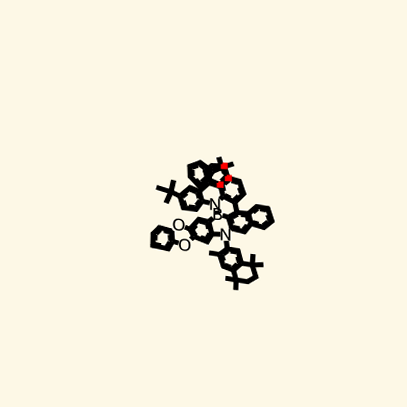 Cc1cc2c(cc1N1c3cc4c(cc3B3c5c1cc1ccccc1c5-c1ccc5c(c1N3c1ccc(C(C)(C)C)cc1-c1ccccc1)-c1ccccc1C5(C)C)Oc1ccccc1O4)C(C)(C)CCC2(C)C